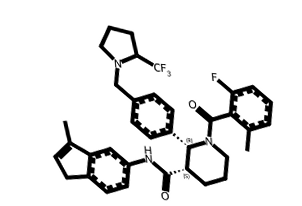 CC1=CCc2ccc(NC(=O)[C@H]3CCCN(C(=O)c4c(C)cccc4F)[C@H]3c3ccc(CN4CCCC4C(F)(F)F)cc3)cc21